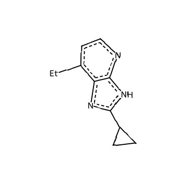 CCc1ccnc2[nH]c(C3CC3)nc12